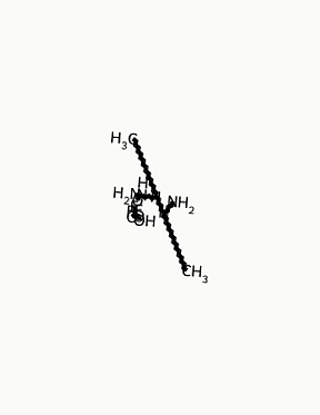 CCCCCCCCCCCCCCCCCCN(CCCN)CCCCN(CCCCCCCCCCCCCCCCCC)CCCNC(N)=O.O=C(OO)C(F)(F)F